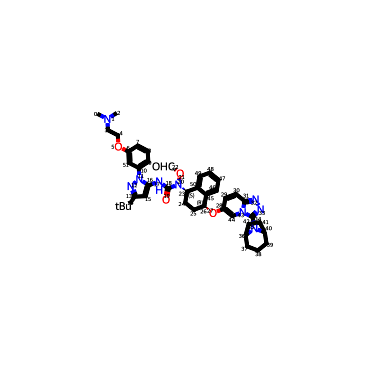 CN(C)CCOc1cccc(-n2nc(C(C)(C)C)cc2NC(=O)N(OC=O)[C@H]2CC[C@@H](Oc3ccc4nnc(N5C6CCCC5CC6)n4c3)c3ccccc32)c1